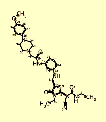 CCNC(=O)C(C#N)=c1sc(=CNc2cccc(NC(=O)CN3CCN(c4ccc(OC)cc4)CC3)n2)c(=O)n1CC